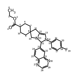 CCOC(=O)C1CCC2(CC1)CC1=CN(c3ccc(F)cc3)C(c3ccc4nccnc4c3)N1C2